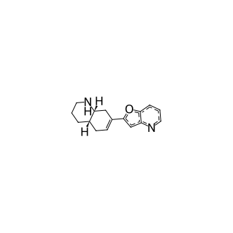 C1=C(c2cc3ncccc3o2)C[C@H]2NCCC[C@H]2C1